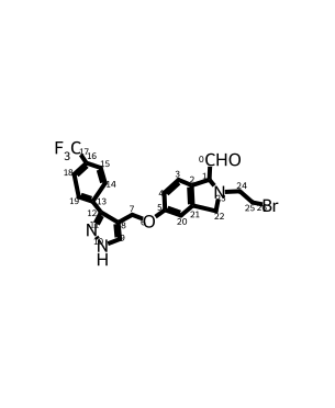 O=CC1c2ccc(OCc3c[nH]nc3-c3ccc(C(F)(F)F)cc3)cc2CN1CCBr